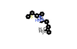 CC1(C)c2ccccc2-c2ccc(-c3cccc(C4=NC(N5c6ccccc6C6C=C(c7cccc8c7sc7ccccc78)C=CC65C)NC=C4)c3)cc21